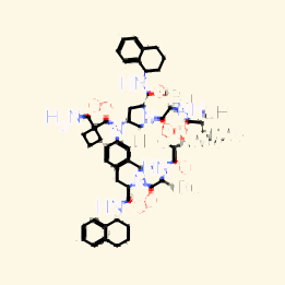 CNC(C)C(=O)NC(C(=O)N1Cc2cc(N(C(=O)C3(C(N)=O)CCC3)[C@H]3C[C@@H](C(=O)N[C@@H]4CCCc5ccccc54)N(C(=O)C(NC(=O)C(C)NC)C(C)(C)C)C3)ccc2CC1C(=O)N[C@@H]1CCCc2ccccc21)C(C)(C)C